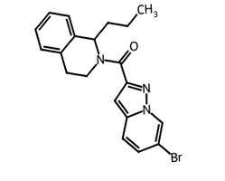 CCCC1c2ccccc2CCN1C(=O)c1cc2ccc(Br)cn2n1